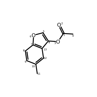 CC(=O)Oc1coc2ccc(C)cc12